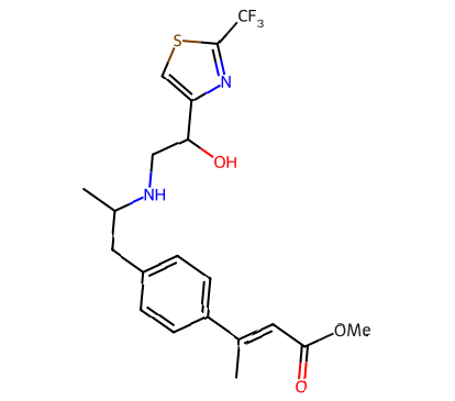 COC(=O)C=C(C)c1ccc(CC(C)NCC(O)c2csc(C(F)(F)F)n2)cc1